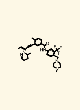 C/C=C(/C#Cc1cc(C(=O)Nc2ccc(CN3CCN(C)CC3)c(C(F)(F)F)c2)ccc1C)N1N=CCCC1C